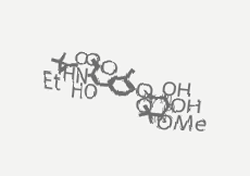 CCC1C(C(=O)Nc2c(O)c3ccc(O[C@@H]4OC(C)(C)[C@H](OC)[C@@H](O)[C@H]4O)c(C)c3oc2=O)C1(C)C